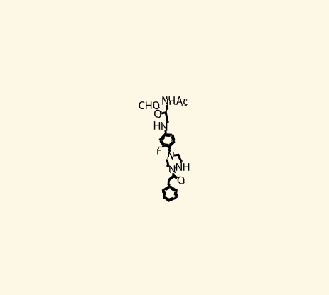 CC(=O)NC[C@@H](CNc1ccc(N2CCNN(C(=O)Cc3ccccc3)CC2)c(F)c1)OC=O